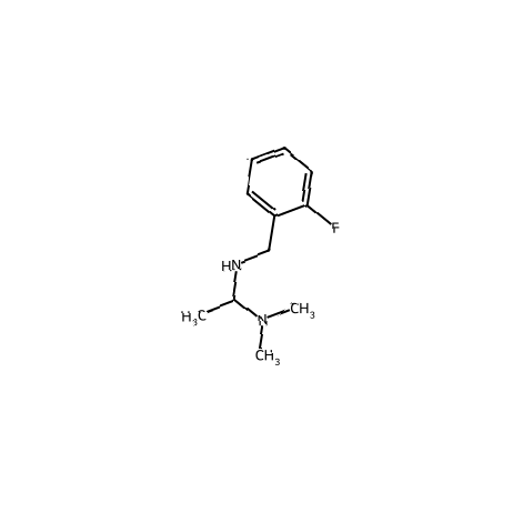 CC(NCc1c[c]ccc1F)N(C)C